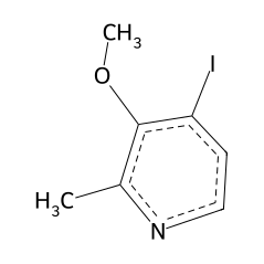 COc1c(I)ccnc1C